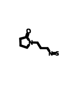 O=C1CCCN1CCCN=S